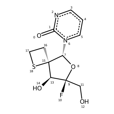 O=c1ncccn1[C@@H]1O[C@](F)(CO)[C@@H](O)[C@]12CCS2